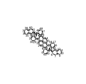 c1ccc(-n2c3ccc4ccccc4c3c3cccc(-c4ccc5ccc6c(-c7cccc8c9c%10ccccc%10ccc9n(-c9ccccc9)c78)ccc7ccc4c5c76)c32)cc1